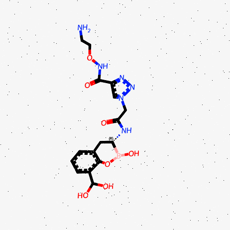 NCCONC(=O)c1cn(CC(=O)N[C@H]2Cc3cccc(C(O)O)c3OB2O)nn1